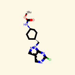 CC(C)(C)OC(=O)N[C@H]1CC[C@H](Cn2ncc3cnc(Cl)nc32)CC1